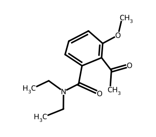 CCN(CC)C(=O)c1cccc(OC)c1C(C)=O